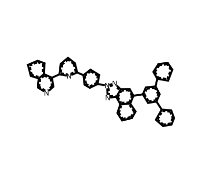 c1ccc(-c2cc(-c3ccccc3)cc(-c3cc4nn(-c5ccc(-c6cccc(-c7cncc8ccccc78)n6)cc5)nc4c4ccccc34)c2)cc1